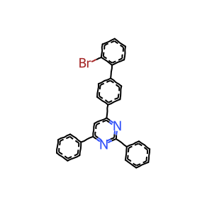 Brc1ccccc1-c1ccc(-c2cc(-c3ccccc3)nc(-c3ccccc3)n2)cc1